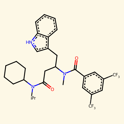 CC(C)N(C(=O)CC(Cc1c[nH]c2ccccc12)N(C)C(=O)c1cc(C(F)(F)F)cc(C(F)(F)F)c1)C1CCCCC1